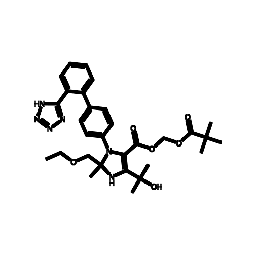 CCOCC1(C)NC(C(C)(C)O)=C(C(=O)OCOC(=O)C(C)(C)C)N1c1ccc(-c2ccccc2-c2nnn[nH]2)cc1